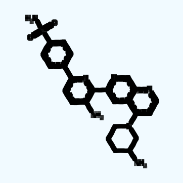 Nc1ccc(-c2ccc(S(N)(=O)=O)cc2)nc1-c1cc2c(N3CCCC(N)C3)ccnc2cn1